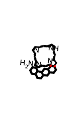 Nc1ccc2ccc3cc4ccccc4cc3c2c1-n1c2ccc1cc1nc(cc3ccc(cc4nc(c2)C=C4)[nH]3)CC1